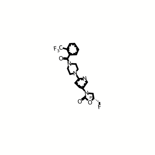 O=C(c1ccccc1C(F)(F)F)N1CCN(c2ccc(N3C[C@H](CF)OC3=O)cn2)CC1